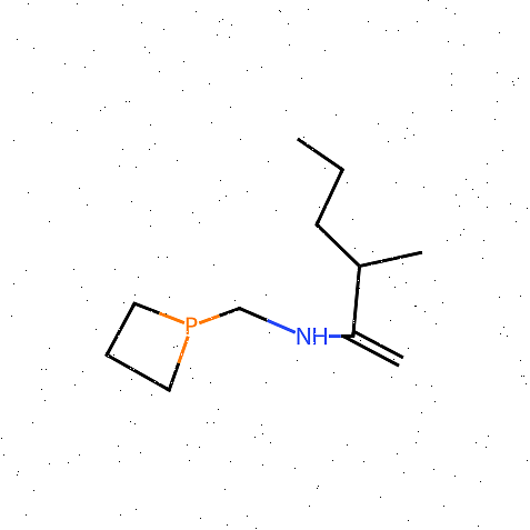 C=C(NCP1CCC1)C(C)CCC